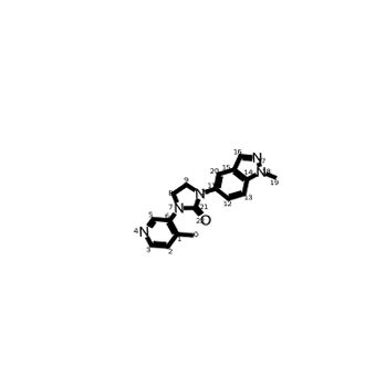 Cc1ccncc1N1CCN(c2ccc3c(cnn3C)c2)C1=O